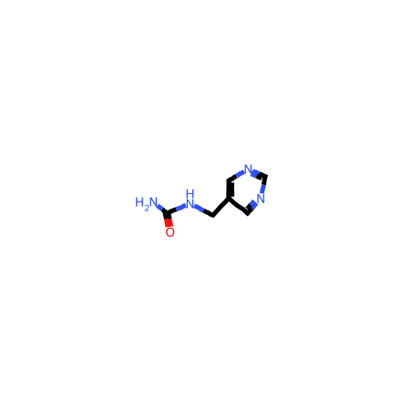 NC(=O)NCc1cncnc1